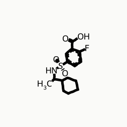 CC(NS(=O)(=O)c1ccc(F)c(C(=O)O)c1)C1CCCCC1